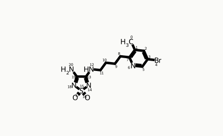 Cc1cc(Br)cnc1CCCCNC1=NS(=O)(=O)N=C1N